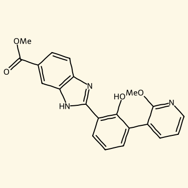 COC(=O)c1ccc2nc(-c3cccc(-c4cccnc4OC)c3O)[nH]c2c1